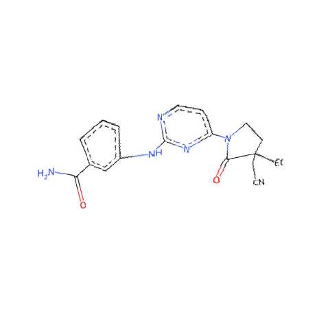 CCC1(C#N)CCN(c2ccnc(Nc3cccc(C(N)=O)c3)n2)C1=O